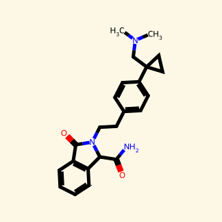 CN(C)CC1(c2ccc(CCN3C(=O)c4ccc[c]c4C3C(N)=O)cc2)CC1